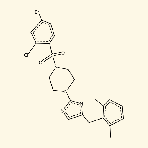 Cc1cccc(C)c1Cc1csc(N2CCN(S(=O)(=O)c3ccc(Br)cc3Cl)CC2)n1